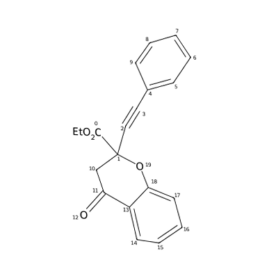 CCOC(=O)C1(C#Cc2ccccc2)CC(=O)c2ccccc2O1